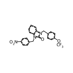 O=c1n(Cc2ccc(OC(F)(F)F)cc2)c2ccccc2n1Cc1ccc([N+](=O)[O-])cc1